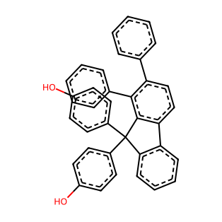 Oc1ccc(C2(c3ccc(O)cc3)c3ccccc3-c3ccc(-c4ccccc4)c(-c4ccccc4)c32)cc1